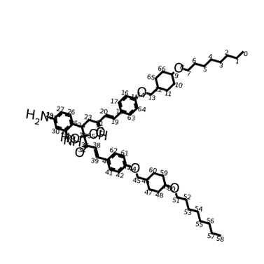 CCCCCCCCOC1CCC(COc2ccc(/C=C/C(=O)CC(c3ccc(N)cc3N)C(O)(O)C(=O)/C=C/c3ccc(OCC4CCC(OCCCCCCCC)CC4)cc3)cc2)CC1